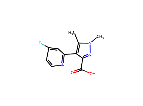 Cc1c(-c2cc(F)ccn2)c(C(=O)O)nn1C